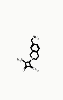 C=C1C(=O)C(N)C1N1CCc2ccc(CN)cc2C1